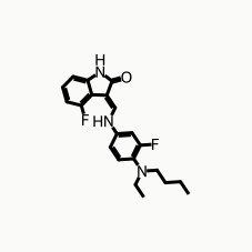 CCCCN(CC)c1ccc(N/C=C2/C(=O)Nc3cccc(F)c32)cc1F